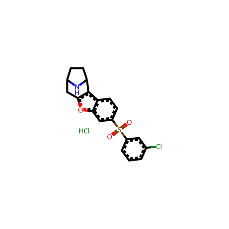 Cl.O=S(=O)(c1cccc(Cl)c1)c1ccc2c3c(oc2c1)CC1CCC3N1